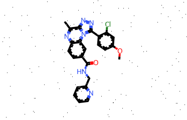 COc1ccc(-c2nnc3c(C)nc4ccc(C(=O)NCc5ccccn5)cc4n23)c(Cl)c1